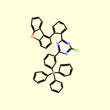 Clc1nc(-c2cccc([Si](c3ccccc3)(c3ccccc3)c3ccccc3)c2)nc(-c2ccccc2-c2cccc3oc4ccccc4c23)n1